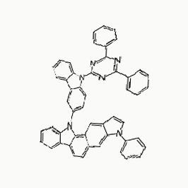 c1ccc(-c2nc(-c3ccccc3)nc(-n3c4ccccc4c4cc(-n5c6ccccc6c6ccc7cc8c(ccn8-c8ccccc8)cc7c65)ccc43)n2)cc1